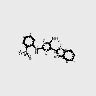 Nc1nc(Nc2ccccc2[N+](=O)[O-])sc1-c1nc2ccccc2[nH]1